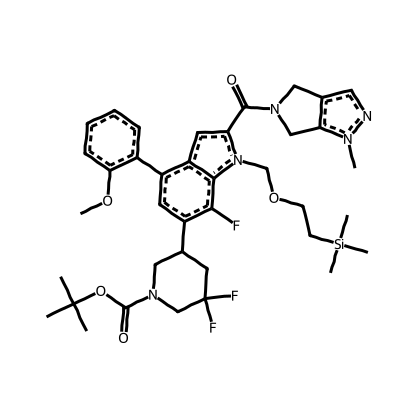 COc1ccccc1-c1cc(C2CN(C(=O)OC(C)(C)C)CC(F)(F)C2)c(F)c2c1cc(C(=O)N1Cc3cnn(C)c3C1)n2COCC[Si](C)(C)C